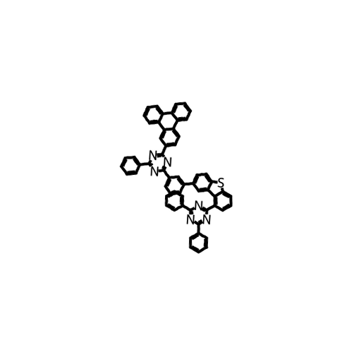 c1ccc(-c2nc(-c3cccc(-c4ccc5sc6cccc(-c7nc(-c8ccccc8)nc(-c8ccccc8)n7)c6c5c4)c3)nc(-c3ccc4c5ccccc5c5ccccc5c4c3)n2)cc1